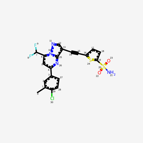 Cc1cc(-c2cc(C(F)F)n3ncc(C#Cc4ccc(S(N)(=O)=O)s4)c3n2)ccc1Cl